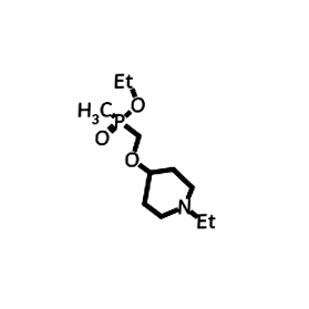 CCOP(C)(=O)COC1CCN(CC)CC1